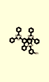 CC(C)c1cccc(-c2nc3ccccc3n2-c2ccccc2-c2cc(-c3nc(-c4ccccc4)nc(-c4ccccc4)n3)cc(-c3nc(-c4ccccc4)nc(-c4ccccc4)n3)c2)c1